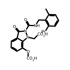 Cc1cccc(C(C)C)c1CNC(=O)n1c(=O)c2cccc(OC(=O)O)c2n1CC(=O)O